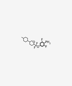 CC1CCC(C2CCC(C(F)(F)Oc3cc(F)c(P)c(F)c3)OC2)CC1